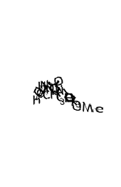 COc1ccc(Cn2c(C)cn3c([C@@]4(C)C[C@@H]5CC[C@H]4O5)ncc3c2=O)cc1